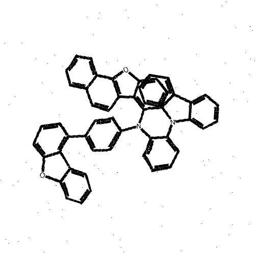 c1ccc(-n2c3ccccc3c3ccccc32)c(N(c2ccc(-c3cccc4oc5ccccc5c34)cc2)c2cccc3oc4c5ccccc5ccc4c23)c1